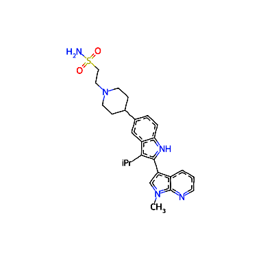 CC(C)c1c(-c2cn(C)c3ncccc23)[nH]c2ccc(C3CCN(CCS(N)(=O)=O)CC3)cc12